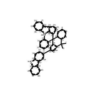 CC1(C)c2ccccc2C2(c3ccccc3-n3c4ccccc4c4cccc2c43)c2cc(-c3ccc4sc5ccccc5c4c3)ccc21